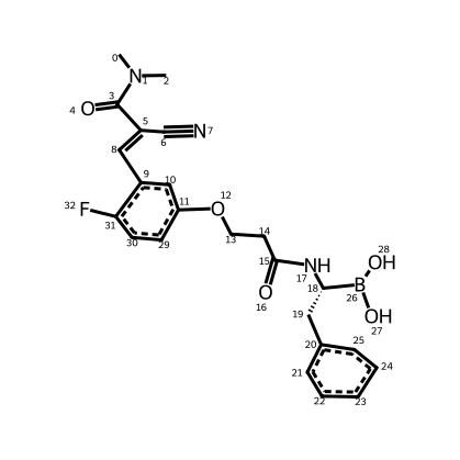 CN(C)C(=O)/C(C#N)=C/c1cc(OCCC(=O)N[C@@H](Cc2ccccc2)B(O)O)ccc1F